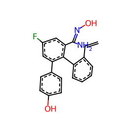 C=Cc1ccccc1-c1c(/C(N)=N/O)cc(F)cc1-c1ccc(O)cc1